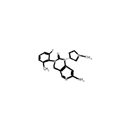 Cc1cccc(F)c1N1Cc2cnc(N)cc2N([C@@H]2CCN(C)C2)C1=O